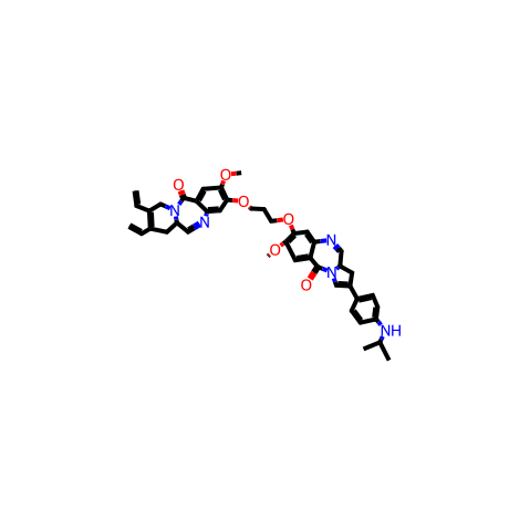 C=CC1=C(C=C)CN2C(=O)c3cc(OC)c(OCCCOc4cc5c(cc4OC)C(=O)N4C=C(c6ccc(NC(C)C)cc6)CC4C=N5)cc3N=CC2C1